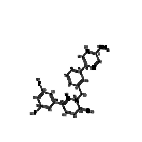 Nc1cnc(-c2cccc(Cn3nc(-c4cc(F)cc(F)c4)ccc3=O)c2)cn1